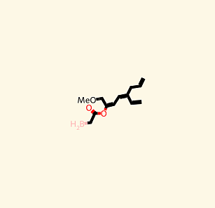 BCC(=O)O/C(=C/C=C(\C=C)CC=C)COC